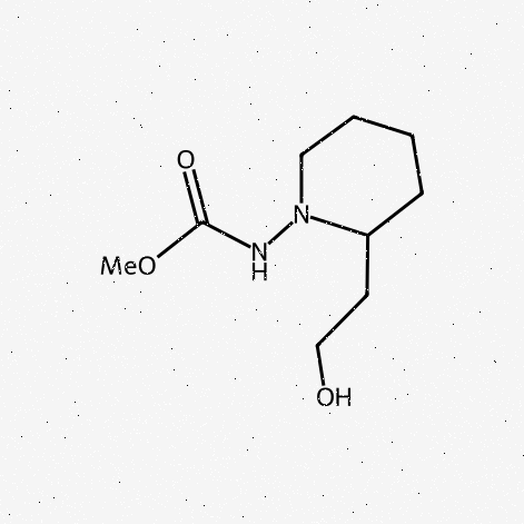 COC(=O)NN1CCCCC1CCO